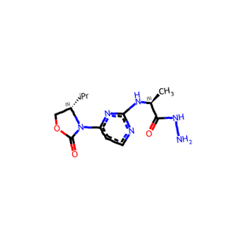 CC(C)[C@H]1COC(=O)N1c1ccnc(N[C@@H](C)C(=O)NN)n1